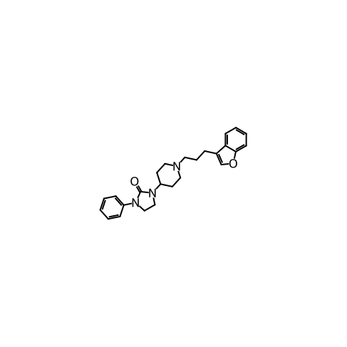 O=C1N(c2ccccc2)CCN1C1CCN(CCCc2coc3ccccc23)CC1